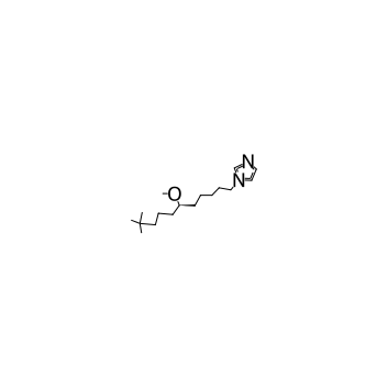 CO[C@@H](CCCCCn1ccnc1)CCCC(C)(C)C